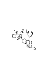 CO.Nc1ccc([N+](=O)[O-])cc1C(=O)c1ccccc1